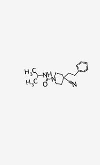 CC(C)NC(=O)N1CCC(C#N)(CCc2ccccc2)CC1